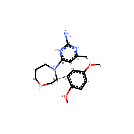 COc1ccc(OC)c([C@@H]2COCCCN2c2cc(C)nc(N)n2)c1